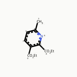 CCOC(=O)c1ccc(C)nc1C(=O)OCC